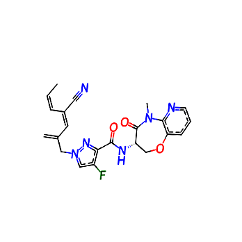 C=C(/C=C(C#N)\C=C/C)Cn1cc(F)c(C(=O)N[C@H]2COc3cccnc3N(C)C2=O)n1